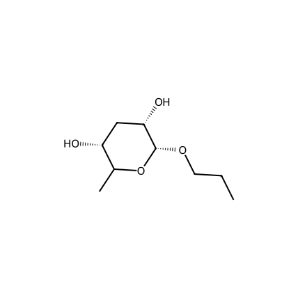 CCCO[C@@H]1OC(C)[C@H](O)C[C@@H]1O